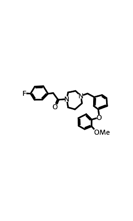 COc1ccccc1Oc1cccc(CN2CCCN(C(=O)Cc3ccc(F)cc3)CC2)c1